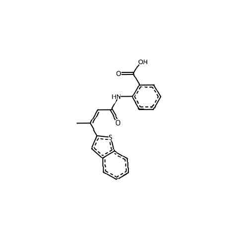 C/C(=C/C(=O)Nc1ccccc1C(=O)O)c1cc2ccccc2s1